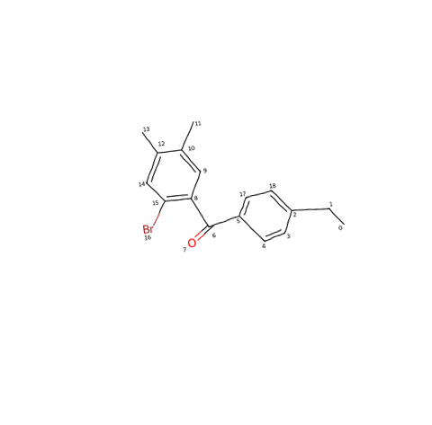 CCc1ccc(C(=O)c2cc(C)c(C)cc2Br)cc1